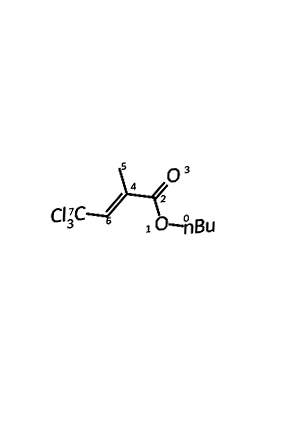 CCCCOC(=O)C(C)=CC(Cl)(Cl)Cl